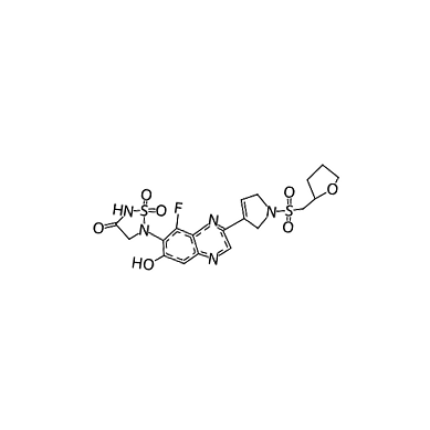 O=C1CN(c2c(O)cc3ncc(C4=CCN(S(=O)(=O)CC5CCCO5)C4)nc3c2F)S(=O)(=O)N1